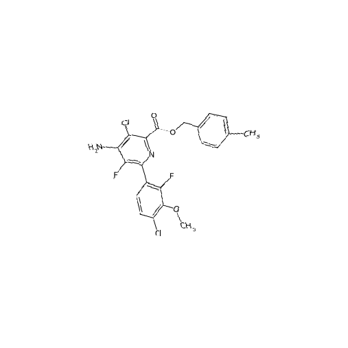 COc1c(Cl)ccc(-c2nc(C(=O)OCc3ccc(C)cc3)c(Cl)c(N)c2F)c1F